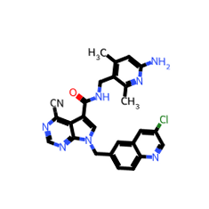 Cc1cc(N)nc(C)c1CNC(=O)c1cn(Cc2ccc3ncc(Cl)cc3c2)c2ncnc(C#N)c12